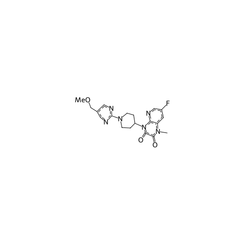 COCc1cnc(N2CCC(n3c(=O)c(=O)n(C)c4cc(F)cnc43)CC2)nc1